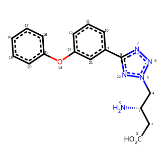 N[C@@H](CC(=O)O)Cn1nnc(-c2cccc(Oc3ccccc3)c2)n1